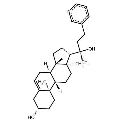 C[C@]12CC[C@H]3[C@@H](CC=C4C[C@@H](O)CC[C@@]43C)[C@@H]1CC[C@@H]2[C@](C)(O)CCc1cccnc1